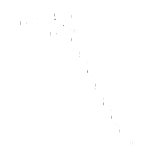 CCOC(=O)C(C)(C)NC(=O)CCCCCCCCCCCOC